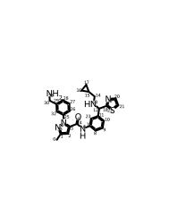 Cc1cc(C(=O)Nc2cccc(C(NCC3CC3)c3nccs3)c2)n(-c2cccc(CN)c2)n1